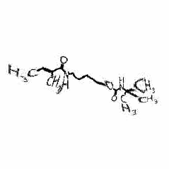 C/C=C(\C)C(=O)NCCCCOC(=O)NC(C)(C)C